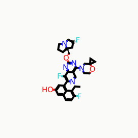 CCc1c(F)ccc2cc(O)cc(-c3ncc4c(N5CCOC6(CC6)C5)nc(OC[C@@]56CCCN5C[C@H](F)C6)nc4c3F)c12